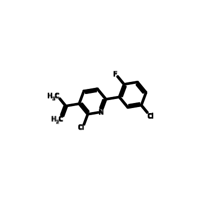 C=C(C)c1ccc(-c2cc(Cl)ccc2F)nc1Cl